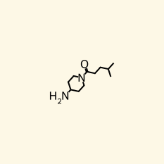 CC(C)CCC(=O)N1CCC(N)CC1